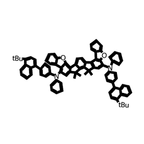 CC(C)(C)c1ccc(-c2ccc(N(c3ccccc3)c3cc4c(c5c3oc3ccccc35)-c3ccc5c(c3C4(C)C)C(C)(C)c3cc(N(c4ccccc4)c4ccc(-c6ccc(C(C)(C)C)c7ccccc67)cc4)c4c(oc6ccccc64)c3-5)cc2)c2ccccc12